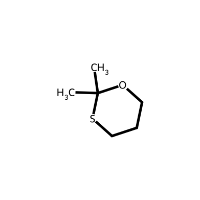 CC1(C)OCCCS1